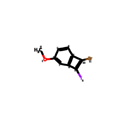 COc1ccc2c(c1)C(I)=C2Br